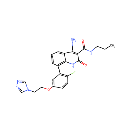 CCCNC(=O)c1c(N)c2cccc(-c3cc(OCCn4cnnc4)ccc3F)c2[nH]c1=O